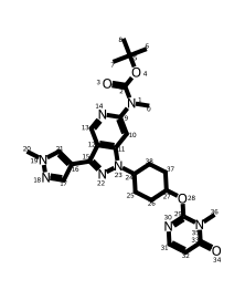 CN(C(=O)OC(C)(C)C)c1cc2c(cn1)c(-c1cnn(C)c1)nn2C1CCC(Oc2nccc(=O)n2C)CC1